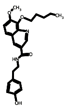 CCCCCOc1c(OC)ccc2cc(C(=O)NCCc3ccc(O)cc3)cnc12